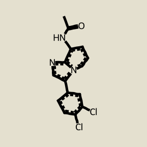 CC(=O)Nc1cccn2c(-c3ccc(Cl)c(Cl)c3)cnc12